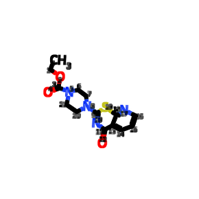 CCOC(=O)N1CCN(c2nc(=O)c3cccnc3s2)CC1